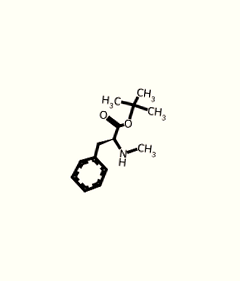 CN[C@@H](Cc1ccccc1)C(=O)OC(C)(C)C